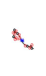 Cc1ccc2oc(-c3ccc(OCCCCc4cn(CCOCCOc5ccc(-c6oc7ccccc7c(=O)c6OCc6cccc(C(=O)O)c6)cc5)nn4)cc3)cc(=O)c2c1